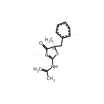 C=C(C)NC1=NC(=O)[C@@](C)(Cc2ccccc2)S1